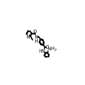 Cc1ncccc1C(=O)NCc1ccc(C(=O)Nc2ccccc2N)cc1